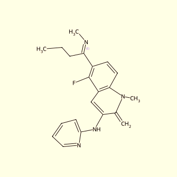 C=C1C(Nc2ccccn2)=Cc2c(ccc(/C(CCC)=N/C)c2F)N1C